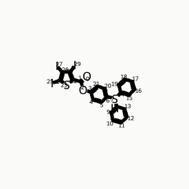 O=C(Oc1ccc([SH](c2ccccc2)c2ccccc2)cc1)c1sc(I)c(I)c1I